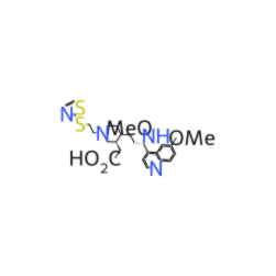 CON[C@@H](CC[C@@H]1CCN(CCSc2nccs2)C[C@@H]1CC(=O)O)c1ccnc2ccc(OC)cc12